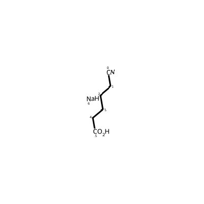 N#CCCCCC(=O)O.[NaH]